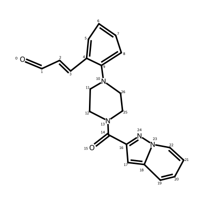 O=C/C=C/c1ccccc1N1CCN(C(=O)c2cc3ccccn3n2)CC1